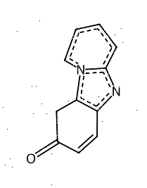 O=C1C=Cc2nc3ccccn3c2C1